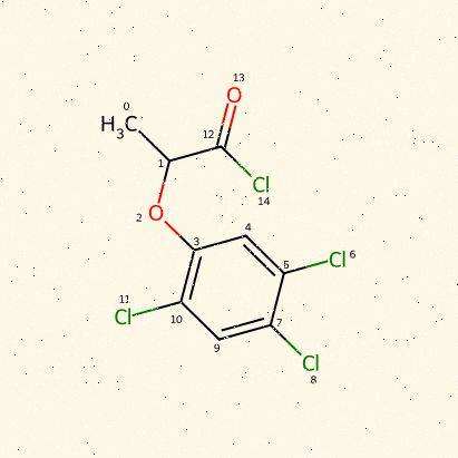 CC(Oc1cc(Cl)c(Cl)cc1Cl)C(=O)Cl